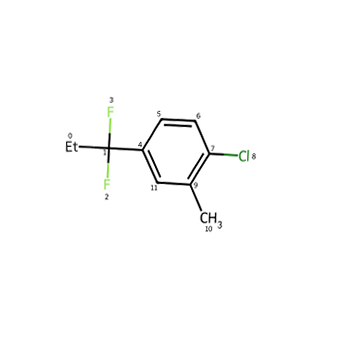 CCC(F)(F)c1ccc(Cl)c(C)c1